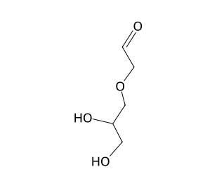 O=CCOCC(O)CO